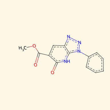 COC(=O)c1cc2nnn(-c3ccccc3)c2[nH]c1=O